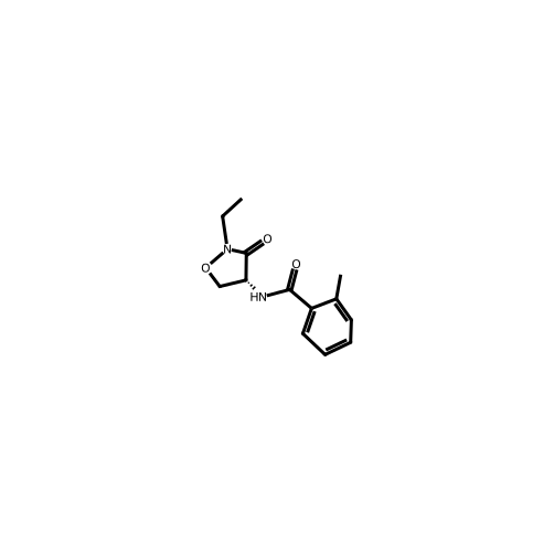 CCN1OC[C@@H](NC(=O)c2ccccc2C)C1=O